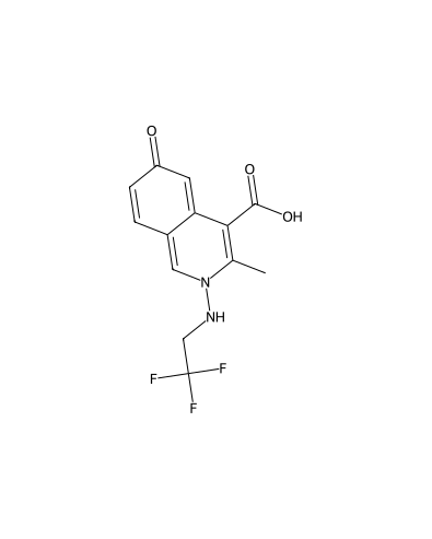 Cc1c(C(=O)O)c2cc(=O)ccc-2cn1NCC(F)(F)F